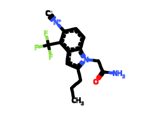 [C-]#[N+]c1ccc2c(cc(CCC)n2CC(N)=O)c1C(F)(F)F